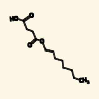 CCCCCCC=COC(=O)CCC(=O)O